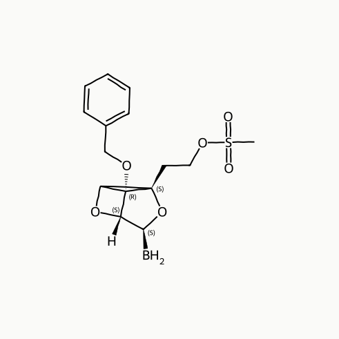 B[C@@H]1O[C@@]2(CCOS(C)(=O)=O)C3O[C@@H]1[C@@]32OCc1ccccc1